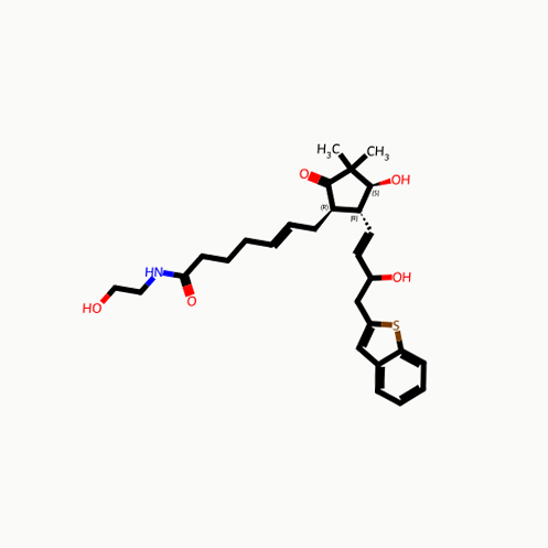 CC1(C)C(=O)[C@H](CC=CCCCC(=O)NCCO)[C@@H](C=CC(O)Cc2cc3ccccc3s2)[C@@H]1O